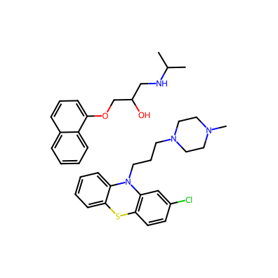 CC(C)NCC(O)COc1cccc2ccccc12.CN1CCN(CCCN2c3ccccc3Sc3ccc(Cl)cc32)CC1